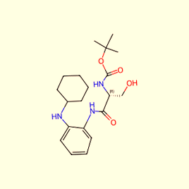 CC(C)(C)OC(=O)N[C@H](CO)C(=O)Nc1ccccc1NC1CCCCC1